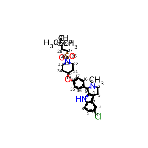 CN1CCc2c([nH]c3ccc(Cl)cc23)C1c1ccc(OC2CCN(S(=O)(=O)CC[Si](C)(C)C)CC2)cc1